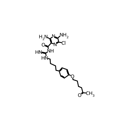 CC(=O)CCCCOc1ccc(CCCCNC(=N)NC(=O)c2nc(Cl)c(N)nc2N)cc1